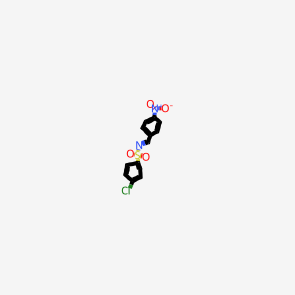 O=[N+]([O-])c1ccc(C=NS(=O)(=O)c2ccc(Cl)cc2)cc1